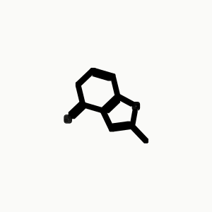 Cc1cc2c(o1)C=CCC2=O